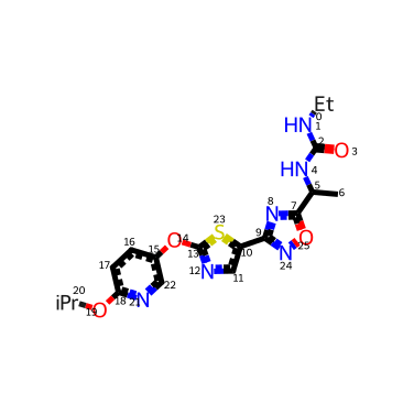 CCNC(=O)NC(C)c1nc(-c2cnc(Oc3ccc(OC(C)C)nc3)s2)no1